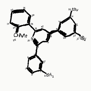 Bc1cccc(-c2cc(-c3cc(C(C)(C)C)cc(C(C)(C)C)c3)cc(-c3ccccc3OC)n2)c1